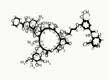 COc1ccc(C(=O)Nc2c(Cl)cncc2Cl)cc1OCCCS[C@@H]1C(=O)O[C@@]2(C)[C@H]1[C@@H](C)C(=O)[C@H](C)C[C@@](C)(OC)[C@H](O[C@@H]1O[C@H](C)C[C@H](N(C)C(=O)N3CCOCC3)[C@H]1O)[C@@H](C)[C@H](O[C@H]1C[C@@](C)(OC)[C@@H](O)[C@H](C)O1)[C@@H](C)C(=O)O[C@@H]2I